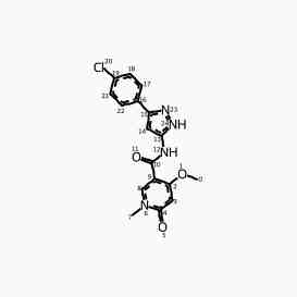 COc1cc(=O)n(C)cc1C(=O)Nc1cc(-c2ccc(Cl)cc2)n[nH]1